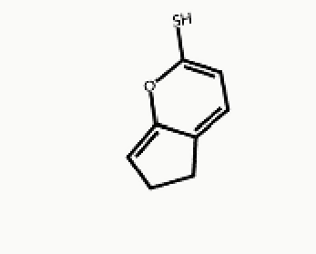 SC1=CC=C2CCC=C2O1